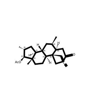 C=C=C[C@]12CCC(=O)C[C@@H]1[C@H](C)C[C@H]1[C@@H]3C[C@@H](C)[C@H](OC(C)=O)[C@@]3(C)CC[C@@H]12